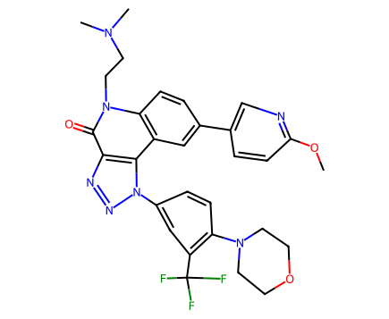 COc1ccc(-c2ccc3c(c2)c2c(nnn2-c2ccc(N4CCOCC4)c(C(F)(F)F)c2)c(=O)n3CCN(C)C)cn1